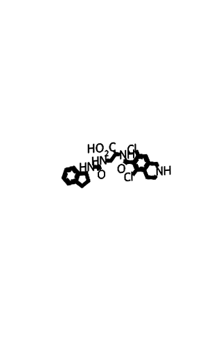 O=C(NC[C@H](NC(=O)c1c(Cl)cc2c(c1Cl)CCNC2)C(=O)O)N[C@@H]1CCc2ccccc21